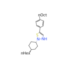 CCCCCCCCc1ccc(C2=CNN([C@H]3CC[C@H](CCCCCC)CC3)S2)cc1